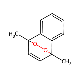 CC12C=CC(C)(OO1)c1ccccc12